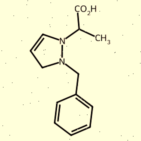 CC(C(=O)O)N1C=CCN1Cc1ccccc1